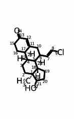 C[C@]12CC[C@H]3[C@@H](C(/C=C/Cl)CC4=CC(=O)CC[C@@H]43)[C@@H]1CCC2O